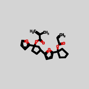 C=CC(=O)OC1(c2ccc(C3CCC(OC(=O)C(=C)C)(c4ccco4)C3)o2)CCCC1